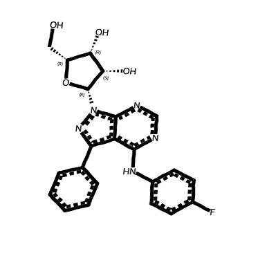 OC[C@H]1O[C@@H](n2nc(-c3ccccc3)c3c(Nc4ccc(F)cc4)ncnc32)[C@@H](O)[C@H]1O